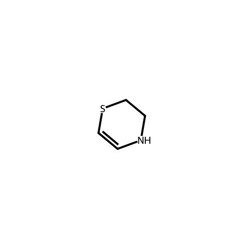 C1=CSCCN1